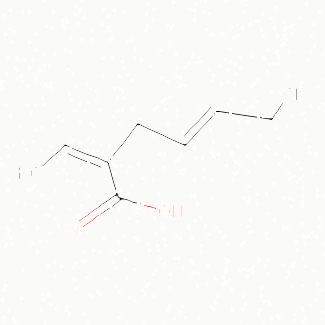 CC=C(CC=CCC)C(=O)O